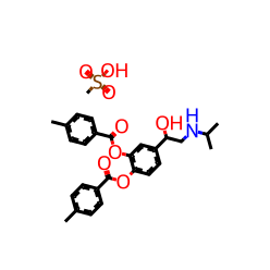 CS(=O)(=O)O.Cc1ccc(C(=O)Oc2ccc(C(O)CNC(C)C)cc2OC(=O)c2ccc(C)cc2)cc1